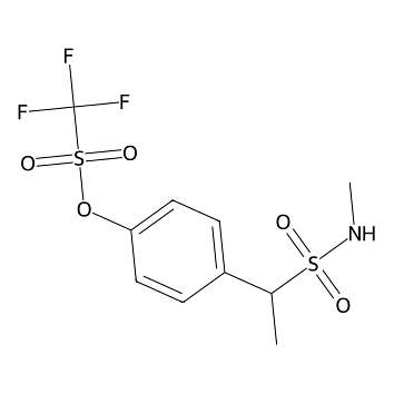 CNS(=O)(=O)C(C)c1ccc(OS(=O)(=O)C(F)(F)F)cc1